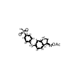 CC(=O)O/N=C1\CSc2cc(Sc3ccc(S(C)(=O)=O)cc3)ccc21